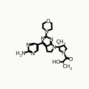 C[C@H](O)C(=O)N1CC[C@](C)(N2CCc3c(-c4cnc(N)nc4)nc(N4CCOCC4)nc32)C1